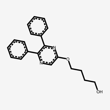 OCCCCOc1cnc(-c2ccccc2)c(-c2ccccc2)n1